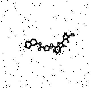 CCn1ncc(-c2nc3c(O[C@H]4CCN(C(=O)Oc5ccc6ccccc6c5)C4)ncnc3n2C)c1C